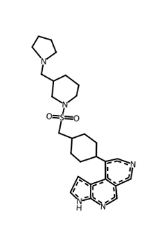 O=S(=O)(CC1CCC(c2cncc3cnc4[nH]ccc4c23)CC1)N1CCCC(CN2CCCC2)C1